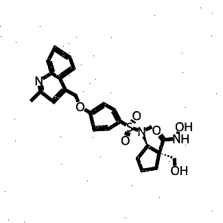 Cc1cc(COc2ccc(S(=O)(=O)N(C)[C@@H]3CCC[C@]3(CO)C(=O)NO)cc2)c2ccccc2n1